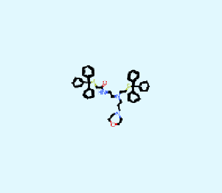 O=C(CSC(c1ccccc1)(c1ccccc1)c1ccccc1)NCCN(CCCN1CCOCC1)CCSC(c1ccccc1)(c1ccccc1)c1ccccc1